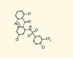 O=C(c1ncc(Cl)cc1NS(=O)(=O)c1ccc(Cl)c(C(F)(F)F)c1)c1c(Cl)cccc1[N+](=O)[O-]